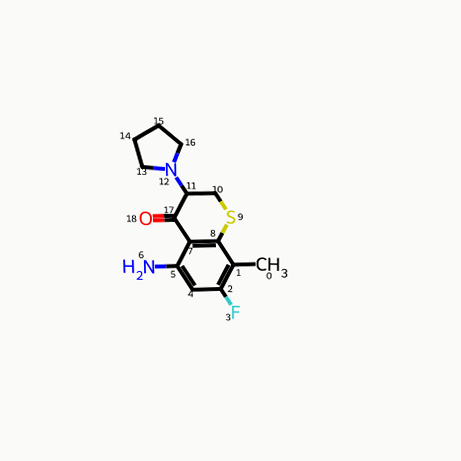 Cc1c(F)cc(N)c2c1SCC(N1CCCC1)C2=O